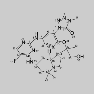 Cn1nnn(-c2cc(Nc3ncc(F)c(N[C@@H]4C[C@H]5CCCN5C(C)(C)C4)n3)ccc2OC(C)(C)CO)c1=O